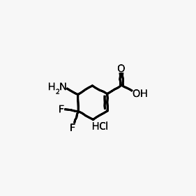 Cl.NC1CC(C(=O)O)=CCC1(F)F